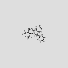 CC1(C)CC(C)(C)c2c1nnc1c2cc(-c2ccccc2)c2ccccc21